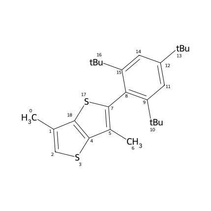 Cc1csc2c(C)c(-c3c(C(C)(C)C)cc(C(C)(C)C)cc3C(C)(C)C)sc12